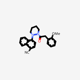 COc1ccccc1CC(=O)N1CCCCN1c1ccc(C#N)c2ccccc12